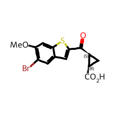 COc1cc2sc(C(=O)[C@H]3C[C@H]3C(=O)O)cc2cc1Br